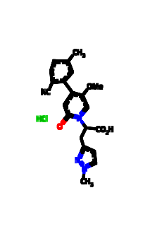 COc1cn(C(Cc2ccn(C)n2)C(=O)O)c(=O)cc1-c1cc(C)ccc1C#N.Cl